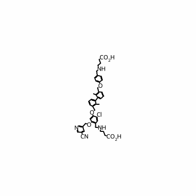 Cc1c(COc2ccc(CNCCCC(=O)O)cc2)cccc1-c1cccc(COc2cc(OCc3cncc(C#N)c3)c(CNCCCC(=O)O)cc2Cl)c1C